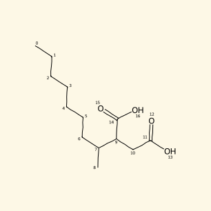 CCCCCCCC(C)C(CC(=O)O)C(=O)O